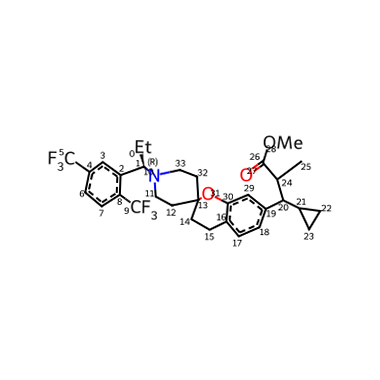 CC[C@H](c1cc(C(F)(F)F)ccc1C(F)(F)F)N1CCC2(CCc3ccc(C(C4CC4)C(C)C(=O)OC)cc3O2)CC1